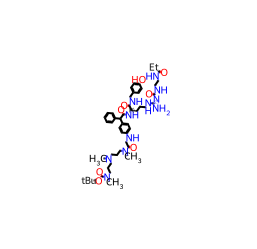 CCC(=O)NCCNC(=O)/N=C(/N)NCCC[C@@H](NC(=O)C(c1ccccc1)c1ccc(NCC(=O)N(C)CCCN(C)CCCN(C)C(=O)OC(C)(C)C)cc1)C(=O)NCc1ccc(O)cc1